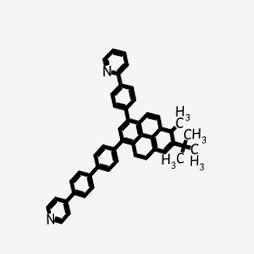 CC1C(C(C)(C)C)=CC2=C3c4c(c(-c5ccc(-c6ccccn6)cc5)cc(-c5ccc(-c6ccc(-c7ccncc7)cc6)cc5)c4CC2)C=CC31